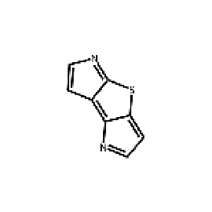 C1=Cc2c3c(sc2=N1)=CC=N3